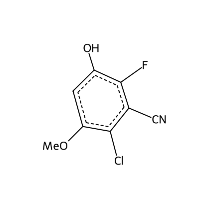 COc1cc(O)c(F)c(C#N)c1Cl